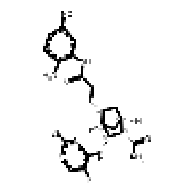 NC(=O)[C@H]1[C@H]2C[C@@H]([C@H]1Nc1nc(Cl)ncc1F)[C@H](SCC(=O)Nc1cc(N=O)ccc1N)C2